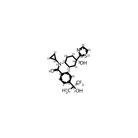 C[C@](O)(c1ccc(C(=O)N(C2CC2)[C@H]2CC[C@](O)(c3nccs3)CC2)cc1)C(F)(F)F